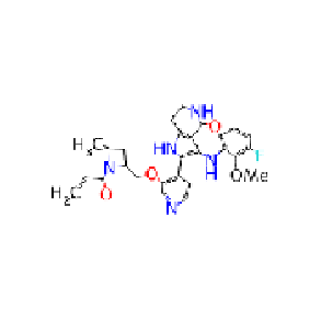 C=CC(=O)N1C(C)CC1COc1cnccc1-c1[nH]c2c(c1Nc1cccc(F)c1OC)C(=O)NCC2